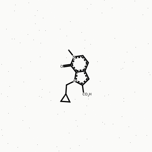 Cn1ccc2cc(C(=O)O)n(CC3CC3)c2c1=O